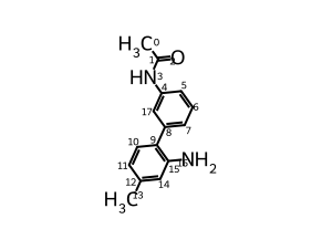 CC(=O)Nc1cccc(-c2ccc(C)cc2N)c1